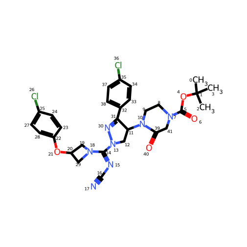 CC(C)(C)OC(=O)N1CCN(C2CN(C(=NC#N)N3CC(Oc4ccc(Cl)cc4)C3)N=C2c2ccc(Cl)cc2)C(=O)C1